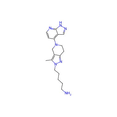 Cc1c2c(nn1CCCCCN)CCN(c1ccnc3[nH]ncc13)C2